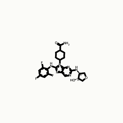 NC(=O)C1CCC(n2c(Nc3c(F)cc(F)cc3F)nc3cnc(N[C@H]4COC[C@@H]4O)nc32)CC1